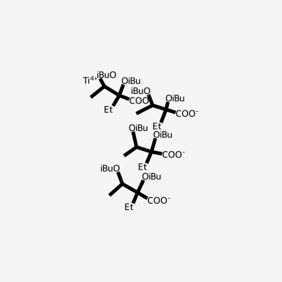 CCC(OCC(C)C)(C(=O)[O-])C(C)OCC(C)C.CCC(OCC(C)C)(C(=O)[O-])C(C)OCC(C)C.CCC(OCC(C)C)(C(=O)[O-])C(C)OCC(C)C.CCC(OCC(C)C)(C(=O)[O-])C(C)OCC(C)C.[Ti+4]